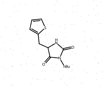 CCCCN1C(=O)NC(Cc2cccs2)C1=O